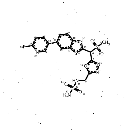 CS(=O)(=O)C(c1nnc(CNS(N)(=O)=O)o1)c1nc2ccc(-c3ccc(F)nc3)cc2s1